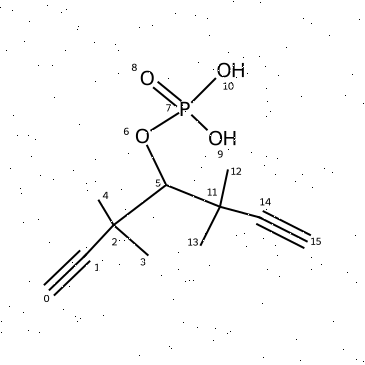 C#CC(C)(C)C(OP(=O)(O)O)C(C)(C)C#C